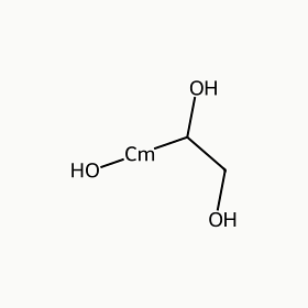 OC[CH](O)[Cm][OH]